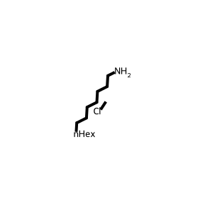 CCCCCCCCCCCCCN.CCl